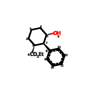 CCOC(=O)[C@@H]1CCC[C@H](O)[C@H]1c1ccccc1